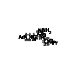 CC(=O)N1CCC(n2cc(-c3cnc(N)c4oc(-c5cccc(OC(C)C)c5)cc34)cn2)CC1